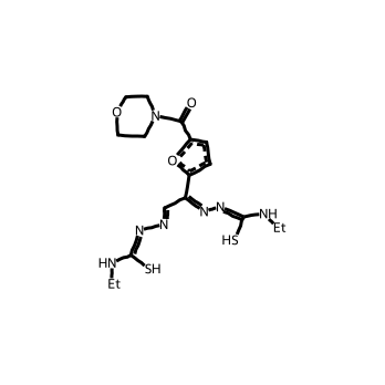 CCN/C(S)=N/N=C(/C=N/N=C(\S)NCC)c1ccc(C(=O)N2CCOCC2)o1